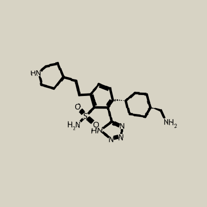 NC[C@H]1CC[C@H](c2ccc(CCC3CCNCC3)c(S(N)(=O)=O)c2-c2nnn[nH]2)CC1